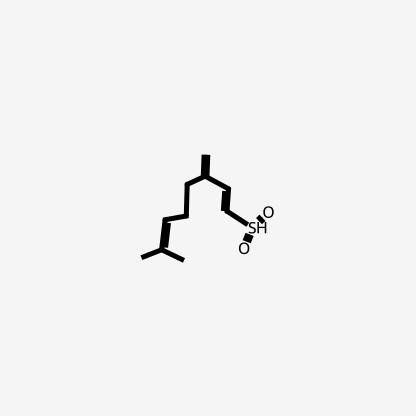 C=C(C=C[SH](=O)=O)CCC=C(C)C